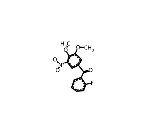 COc1cc(C(=O)c2ccccc2F)cc([N+](=O)[O-])c1OC